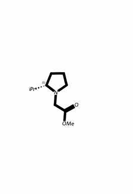 COC(=O)CN1CCC[C@H]1C(C)C